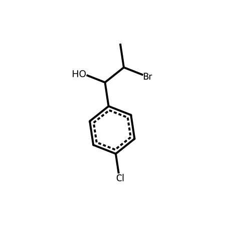 CC(Br)C(O)c1ccc(Cl)cc1